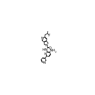 CC(F)Cc1cc2c(cn1)CN(C(=O)Nc1nc(-c3cccnc3)ccc1N)C2